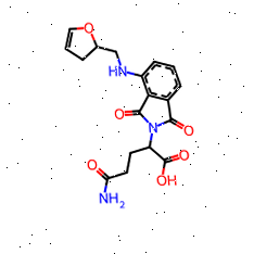 NC(=O)CCC(C(=O)O)N1C(=O)c2cccc(NCC3CC=CO3)c2C1=O